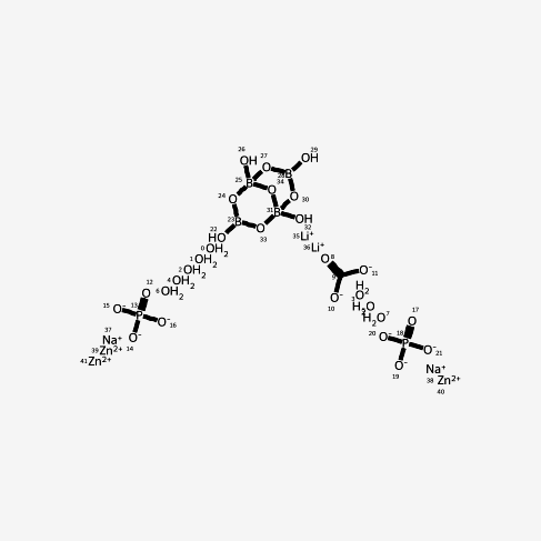 O.O.O.O.O.O.O.O.O=C([O-])[O-].O=P([O-])([O-])[O-].O=P([O-])([O-])[O-].OB1O[B-]2(O)OB(O)O[B-](O)(O1)O2.[Li+].[Li+].[Na+].[Na+].[Zn+2].[Zn+2].[Zn+2]